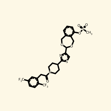 CS(=O)(=O)Oc1cccc2c1COC(c1csc(C3CCN(C(=O)Cc4cc(C(F)(F)F)ccc4C(F)(F)F)CC3)n1)OC2